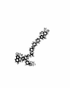 CCc1c(F)ccc2cc(O)cc(-c3ncc4c(N5CCC[C@@](C)(O)C5)nc(OCC5(CN6CCC(F)(CN7CCC(N8CCN(c9cc(F)c(C%10CCC(=O)NC%10=O)c(F)c9)CC8)CC7)CC6)CC5)nc4c3F)c12